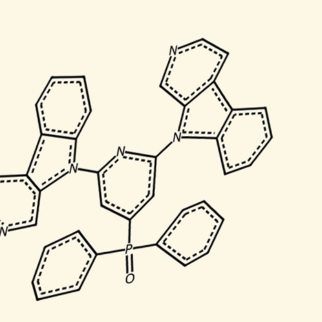 O=P(c1ccccc1)(c1ccccc1)c1cc(-n2c3ccccc3c3ccncc32)nc(-n2c3ccccc3c3ccncc32)c1